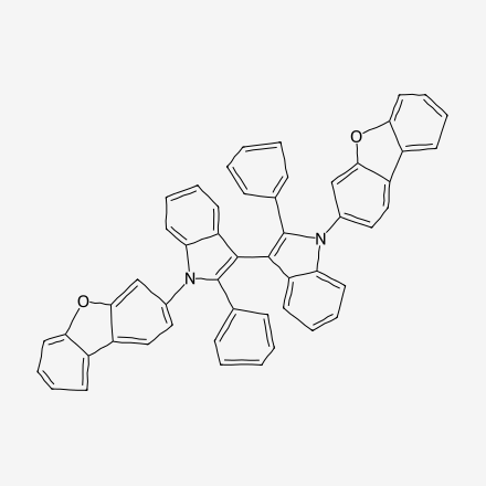 c1ccc(-c2c(-c3c(-c4ccccc4)n(-c4ccc5c(c4)oc4ccccc45)c4ccccc34)c3ccccc3n2-c2ccc3c(c2)oc2ccccc23)cc1